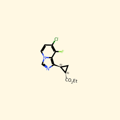 CCOC(=O)[C@H]1C[C@@H]1c1ncn2ccc(Cl)c(F)c12